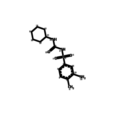 Cc1ccc(S(=O)(=O)NC(=O)NC2CCCCC2)cc1N